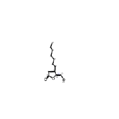 CCCCCCCC1=CC(=O)O/C1=C\Br